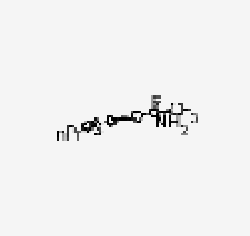 CCCc1ccc2cc(-c3ccc(C#CC4CC=C(c5cc(N)c(C#CC(F)(F)F)c(F)c5)CC4)cc3)sc2c1